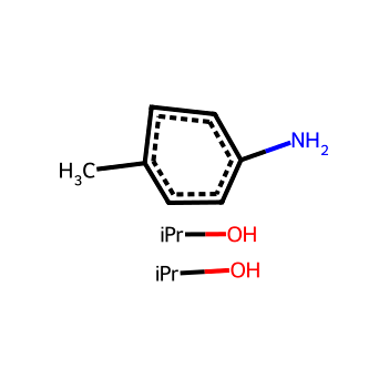 CC(C)O.CC(C)O.Cc1ccc(N)cc1